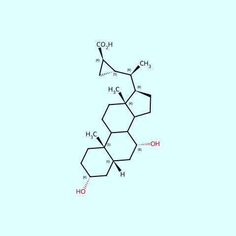 C[C@H]([C@@H]1C[C@H]1C(=O)O)[C@H]1CCC2C3C(CC[C@@]21C)[C@@]1(C)CC[C@@H](O)C[C@H]1C[C@H]3O